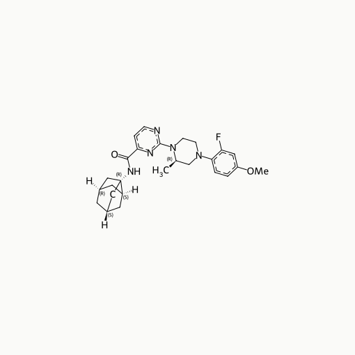 COc1ccc(N2CCN(c3nccc(C(=O)N[C@]45C[C@@H]6C[C@@H](C[C@H]4C6)C5)n3)[C@H](C)C2)c(F)c1